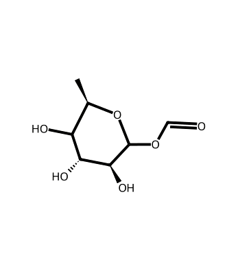 C[C@H]1OC(OC=O)[C@@H](O)[C@H](O)C1O